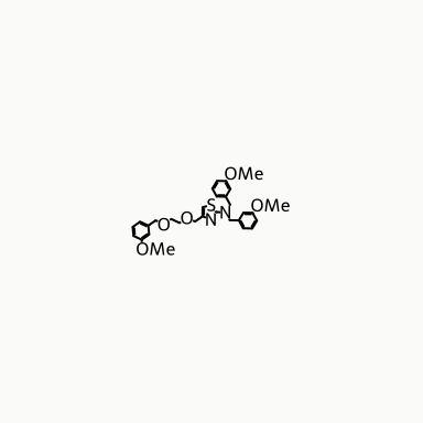 COc1cccc(COCCOCc2csc(N(Cc3cccc(OC)c3)Cc3cccc(OC)c3)n2)c1